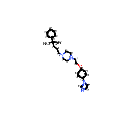 CC(C)C(C#N)(CCCN1CCN(CCOc2ccc(-n3ccnc3)cc2)CC1)c1ccccc1